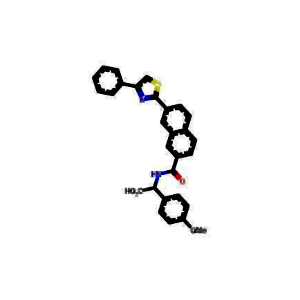 COc1ccc(C(NC(=O)c2ccc3ccc(-c4nc(-c5ccccc5)cs4)cc3c2)C(=O)O)cc1